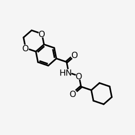 O=C(NOC(=O)C1CCCCC1)c1ccc2c(c1)OCCO2